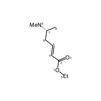 CCOC(=O)/C=C/C[C@@H](C)NC